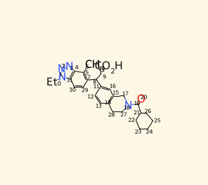 CCn1nnc2c(C)c(C(CC(=O)O)c3ccc4c(c3)CN(C(=O)C3CCCCC3)CC4)ccc21